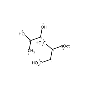 CC(O)CO.CCCCCCCCC(CC(=O)O)C(=O)O